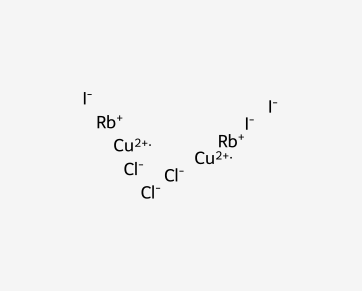 [Cl-].[Cl-].[Cl-].[Cu+2].[Cu+2].[I-].[I-].[I-].[Rb+].[Rb+]